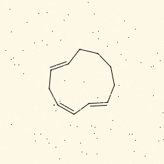 [C]1=C\C=C\CCCC/C=C/C/1